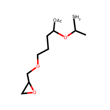 CC(=O)OC(CCCOCC1CO1)OC(C)[SiH3]